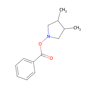 CC1CN(OC(=O)c2ccccc2)CC1C